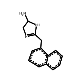 NC1CN=C(Cc2cccc3ccccc23)N1